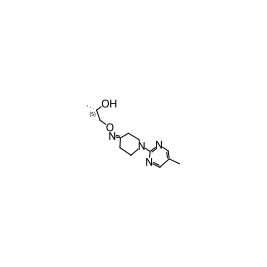 Cc1cnc(N2CCC(=NOC[C@H](C)O)CC2)nc1